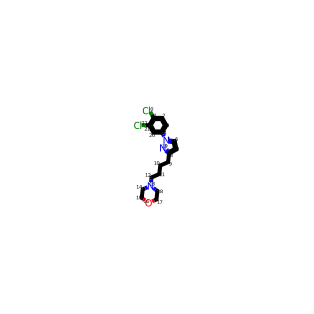 Clc1ccc(-n2ccc(CCCCN3CCOCC3)n2)cc1Cl